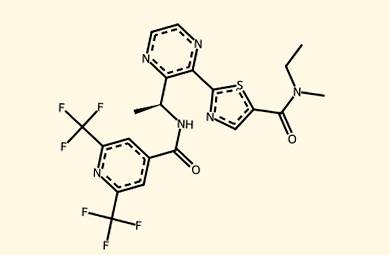 CCN(C)C(=O)c1cnc(-c2nccnc2[C@H](C)NC(=O)c2cc(C(F)(F)F)nc(C(F)(F)F)c2)s1